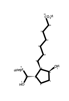 CCCCCCCC(O)[C@H]1CC[C@H](O)[C@@H]1CCCCCCC(=O)O